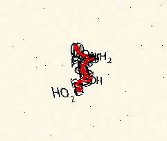 C/C(=C\c1cc(F)cc(N2CCN(CC(=O)O)CC2)c1)[C@H]1OC(=O)C[C@H](O)CC[C@H](C)[C@@H](OC(=O)N2CCN(C(=O)OCc3ccc(NC(=O)[C@H](CCCNC(N)=O)NC(=O)[C@@H](NC(=O)CCCCCN4C(=O)C=CC4=O)C(C)C)cc3)CC2)/C=C/[C@@H]1C